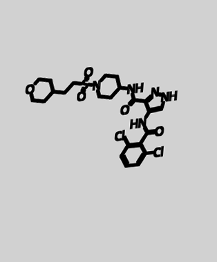 O=C(NC1CCN(S(=O)(=O)CCC2CCOCC2)CC1)c1n[nH]cc1NC(=O)c1c(Cl)cccc1Cl